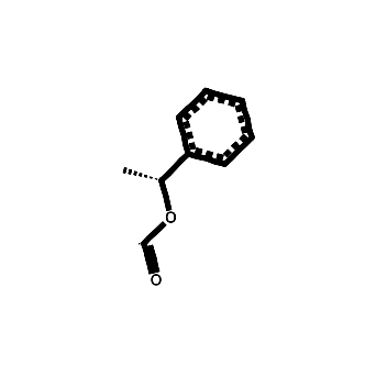 C[C@@H](O[C]=O)c1ccccc1